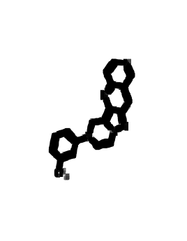 FC(F)(F)c1cccc(N2C=Cn3nc4cc5cnccc5nc4c3C2)c1